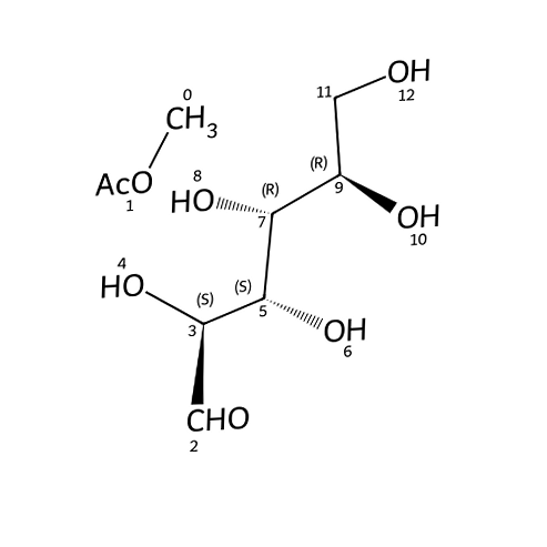 COC(C)=O.O=C[C@@H](O)[C@@H](O)[C@H](O)[C@H](O)CO